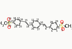 CS(=O)(=O)c1ccc(/C=C/c2ccc(/C=C/c3ccc(S(C)(=O)=O)cc3)cc2)cc1